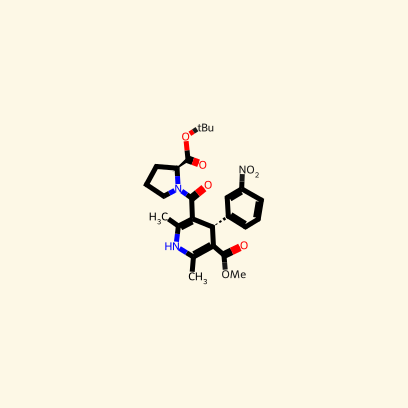 COC(=O)C1=C(C)NC(C)=C(C(=O)N2CCC[C@H]2C(=O)OC(C)(C)C)[C@@H]1c1cccc([N+](=O)[O-])c1